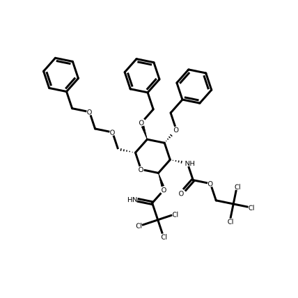 N=C(O[C@H]1O[C@H](COCOCc2ccccc2)[C@@H](OCc2ccccc2)[C@H](OCc2ccccc2)[C@@H]1NC(=O)OCC(Cl)(Cl)Cl)C(Cl)(Cl)Cl